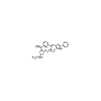 C=C/C(=C\c1cc(-c2ccccc2)[nH]c1C)c1cccc(C(=N)N2CCC(NC)C2)n1